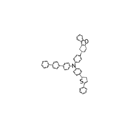 C1=C[C@@H](c2ccc(N(c3ccc(-c4ccc(-c5ccccc5)cc4)cc3)c3ccc(C4CC=C(c5ccccc5)S4)cc3)cc2)Cc2c1oc1ccccc21